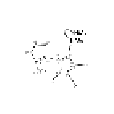 C[N-]C.C[N-]C.Cc1c(C)c(C)p(C2=[C]([Zr+2])CC=C2)c1C